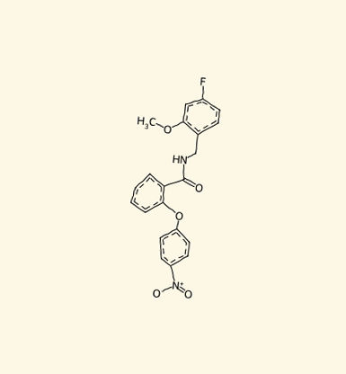 COc1cc(F)ccc1CNC(=O)c1ccccc1Oc1ccc([N+](=O)[O-])cc1